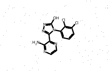 Nc1nccnc1-c1nnc(O)n1-c1cccc(Cl)c1Cl